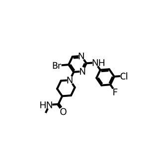 CNC(=O)C1CCN(c2nc(Nc3ccc(F)c(Cl)c3)ncc2Br)CC1